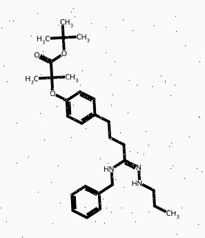 CCCN/N=C(/CCCc1ccc(OC(C)(C)C(=O)OC(C)(C)C)cc1)NCc1ccccc1